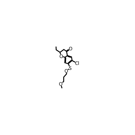 CCC1CC(=O)c2cc(Cl)c(SOCCCOC)cc2O1